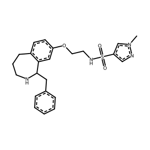 Cn1cc(S(=O)(=O)NCCOc2ccc3c(c2)C(Cc2ccccc2)NCCC3)cn1